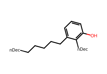 CCCCCCCCCCCCCCCc1cccc(O)c1CCCCCCCCCC